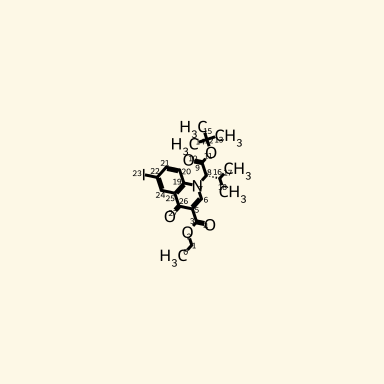 CCOC(=O)c1cn([C@H](C(=O)OC(C)(C)C)C(C)C)c2ccc(I)cc2c1=O